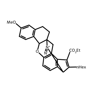 CCCCCCC1=C(C(=O)OCC)c2c3ccc4c2CC2(CCc5cc(OC)ccc5C2O4)[N+](=[N-])C13